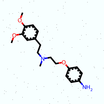 COc1ccc(CCN(C)CCOc2ccc(N)cc2)cc1OC